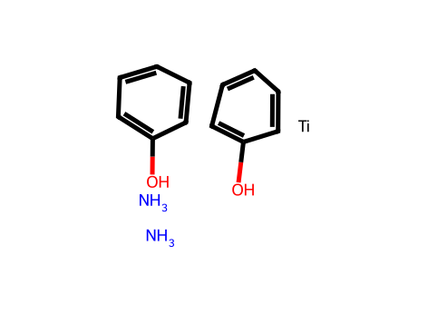 N.N.Oc1ccccc1.Oc1ccccc1.[Ti]